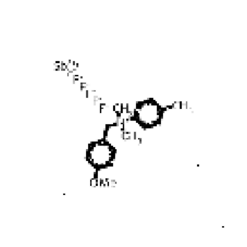 COc1ccc(C[N+](C)(C)c2ccc(C)cc2)cc1.[F-].[F-].[F-].[F-].[F-].[F-].[Sb+3]